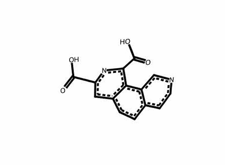 O=C(O)c1cc2ccc3ccncc3c2c(C(=O)O)n1